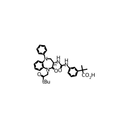 CC(C)(C)C(=O)CN1C(=O)[C@H](NC(=O)Nc2cccc(C(C)(C)C(=O)O)c2)CN(c2ccccc2)c2ccccc21